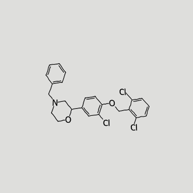 Clc1cc(C2CN(Cc3ccccc3)CCO2)ccc1OCc1c(Cl)cccc1Cl